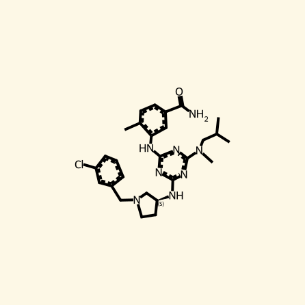 Cc1ccc(C(N)=O)cc1Nc1nc(N[C@H]2CCN(Cc3cccc(Cl)c3)C2)nc(N(C)CC(C)C)n1